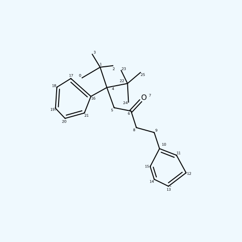 CC(C)(C)C(CC(=O)CCc1cc[c]cc1)(c1cc[c]cc1)C(C)(C)C